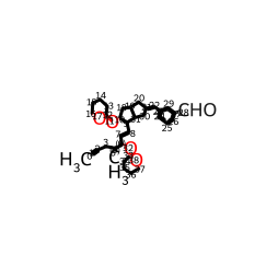 CC#CC[C@H](C)[C@@H](C=CC1C(OC2CCCCO2)CC2CC(=Cc3cccc(C=O)c3)CC21)OC1CCCCO1